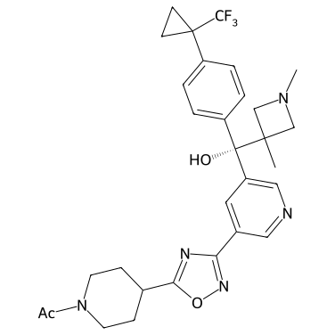 CC(=O)N1CCC(c2nc(-c3cncc([C@@](O)(c4ccc(C5(C(F)(F)F)CC5)cc4)C4(C)CN(C)C4)c3)no2)CC1